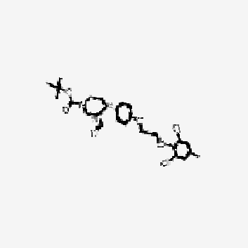 Cc1cc(Cl)c(OCCOc2ccc([C@H]3CCN(C(=O)OC(C)(C)C)C[C@@H]3C=O)cc2)c(Cl)c1